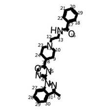 Cc1nn(-c2noc(C3CCN(CCNC(=O)c4ccccc4)CC3)n2)c2ccccc12